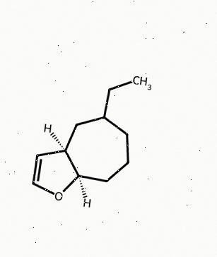 CCC1CCC[C@H]2OC=C[C@H]2C1